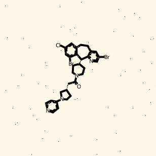 O=C(C[C@@H]1CCN(c2ccncc2)C1)N1CCC([C@H]2c3ncc(Br)cc3CCc3cc(Cl)cc(Br)c32)CC1